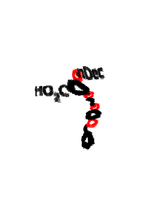 CCCCCCCCCCOc1cc(OCCCOc2ccc(OCc3ccccc3)cc2)cc(C(=O)O)c1